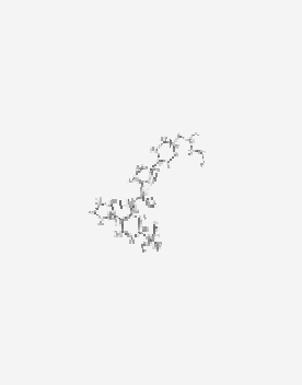 CCCC(C)CN1CCC(c2nc(C(=O)Nc3cc(C(F)(F)F)ccc3N3CCCC3)cs2)CC1